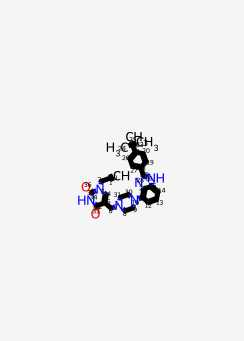 C#CCn1cc(CN2CCN(c3cccc4[nH]c(-c5ccc(C(C)(C)C)cc5)nc34)CC2)c(=O)[nH]c1=O